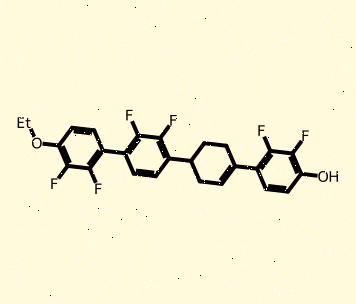 CCOc1ccc(-c2ccc(C3CC=C(c4ccc(O)c(F)c4F)CC3)c(F)c2F)c(F)c1F